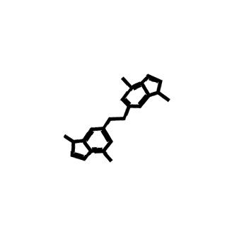 Cc1cc(CCc2cc(C)c3c(c2)C(C)C=C3)cc2c1C=CC2C